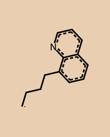 [CH2]CCCc1cccc2cccnc12